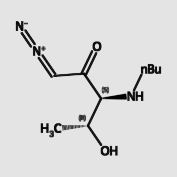 CCCCN[C@H](C(=O)C=[N+]=[N-])[C@@H](C)O